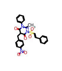 CCN(C(=O)C(Cc1ccc([N+](=O)[O-])cc1)C(=O)NS(=O)(=O)C=Cc1ccccc1)c1ccccc1